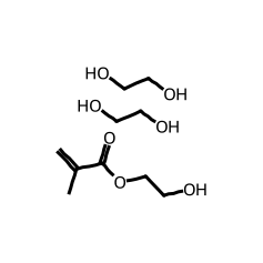 C=C(C)C(=O)OCCO.OCCO.OCCO